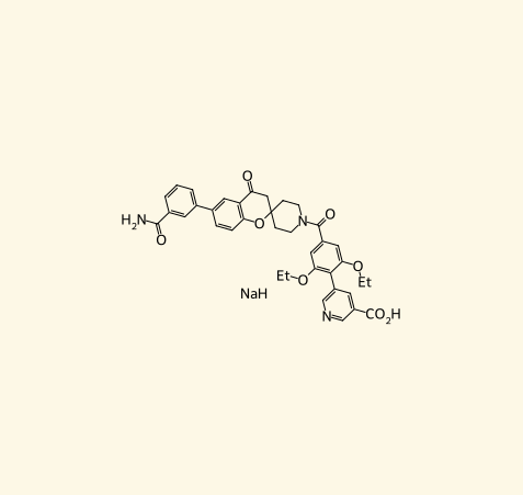 CCOc1cc(C(=O)N2CCC3(CC2)CC(=O)c2cc(-c4cccc(C(N)=O)c4)ccc2O3)cc(OCC)c1-c1cncc(C(=O)O)c1.[NaH]